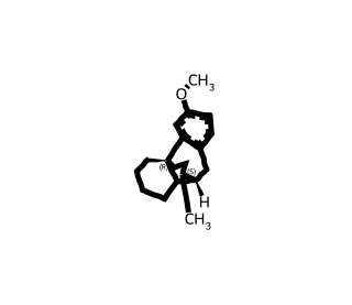 COc1ccc2c(c1)[C@@]13CCCCC1[C@@H](C2)C(C)CC3